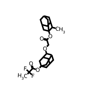 CC1C2CC3CC(C2)CC1(OC(=O)COC1C2CC4CC1CC(OC(=O)C(C)(F)F)(C4)C2)C3